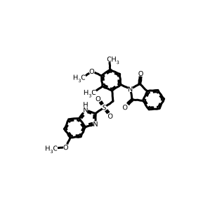 COc1ccc2[nH]c(S(=O)(=O)Cc3c(N4C(=O)c5ccccc5C4=O)cc(C)c(OC)c3C)nc2c1